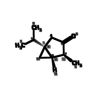 CC(C)[C@]12CC(=O)[C@@H](C)[C@@H]1C2